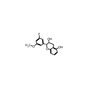 COc1cc(F)cc([C@@H]2Oc3cccc(O)c3C[C@@H]2O)c1